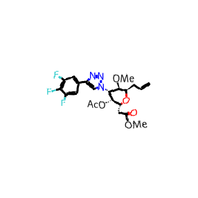 C=CC[C@H]1O[C@H](CC(=O)OC)[C@H](OC(C)=O)[C@H](n2cc(-c3cc(F)c(F)c(F)c3)nn2)[C@H]1OC